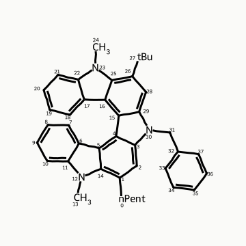 CCCCCc1cc2c(c3c4ccccc4n(C)c13)c1c3c4ccccc4n(C)c3c(C(C)(C)C)cc1n2Cc1ccccc1